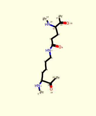 CC(C)NC(CCCCNC(=O)CCC(NC(C)C)C(=O)C(C)C)C(=O)C(C)C